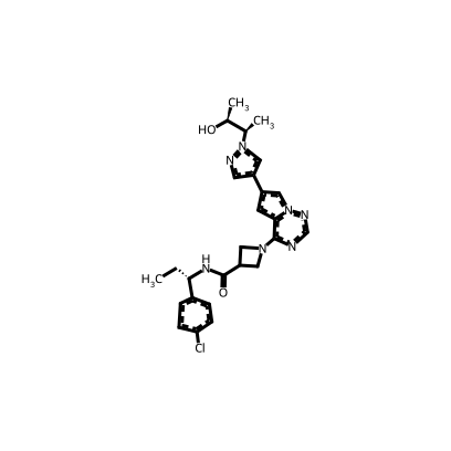 CC[C@H](NC(=O)C1CN(c2ncnn3cc(-c4cnn([C@H](C)[C@H](C)O)c4)cc23)C1)c1ccc(Cl)cc1